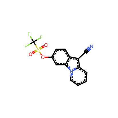 N#Cc1c2ccc(OS(=O)(=O)C(F)(F)F)cc2n2ccccc12